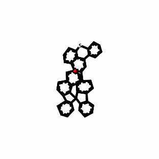 c1ccc2c(c1)Sc1cccc3cc(-c4ccc5c(c4)C4(c6ccccc6-5)c5ccccc5-c5ccc6ccccc6c54)cc-2c13